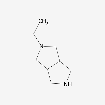 CCN1CC2CNCC2C1